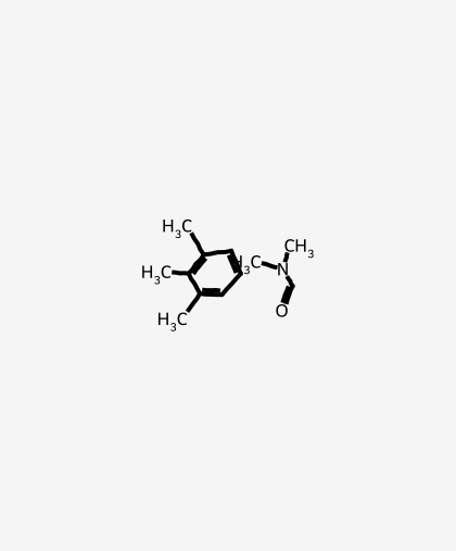 CN(C)C=O.Cc1cccc(C)c1C